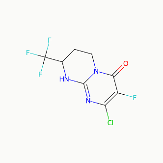 O=c1c(F)c(Cl)nc2n1CCC(C(F)(F)F)N2